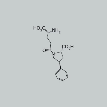 N[C@@H](CCC(=O)N1C[C@H](c2ccccc2)C[C@H]1C(=O)O)C(=O)O